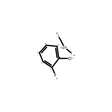 Fc1cc[c]cc1Cl.[I][Zn][I]